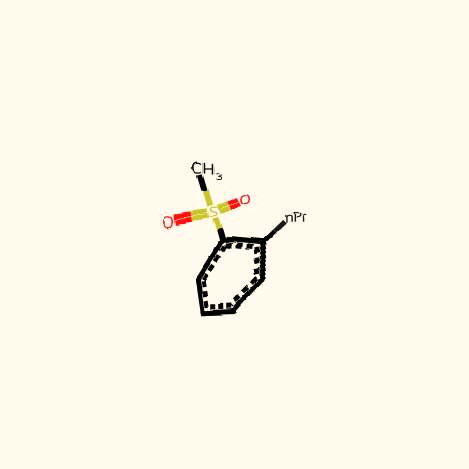 CCCc1ccccc1S(C)(=O)=O